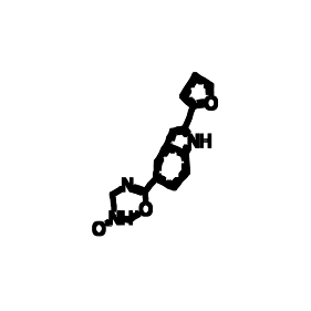 [O-][NH+]1CN=C(c2ccc3[nH]c(-c4ccco4)cc3c2)OC1